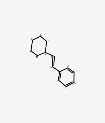 [c]1ccc(C=CC2CCCCC2)cc1